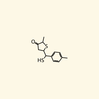 Cc1ccc(C(S)C2CC(=O)C(C)S2)cc1